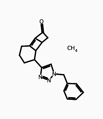 C.O=C1CC2C1=C1CCCC(c3cn(Cc4ccccc4)nn3)C12